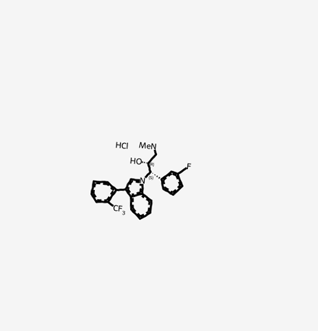 CNC[C@@H](O)[C@H](c1cccc(F)c1)n1cc(-c2ccccc2C(F)(F)F)c2ccccc21.Cl